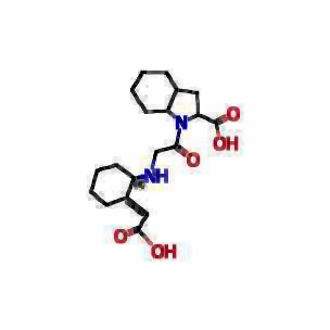 O=C(O)C=C1CCCC[C@H]1NCC(=O)N1C(C(=O)O)CC2CCCCC21